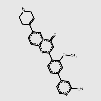 COc1cc(-c2ccnc(O)c2)ccc1-c1cc(=O)n2cc(C3=CCNCC3)ccc2n1